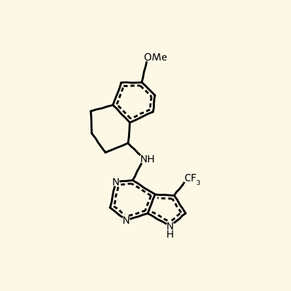 COc1ccc2c(c1)CCCC2Nc1ncnc2[nH]cc(C(F)(F)F)c12